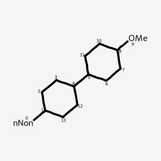 CCCCCCCCCC1CCC(C2CCC(OC)CC2)CC1